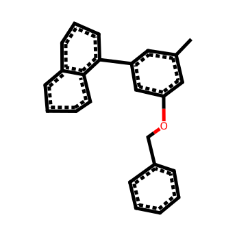 Cc1cc(OCc2ccccc2)cc(-c2cccc3ccccc23)c1